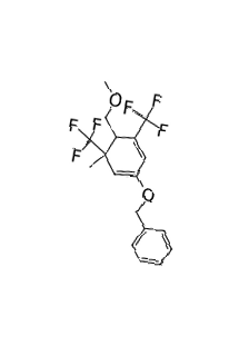 COCC1C(C(F)(F)F)=CC(OCc2ccccc2)=CC1(C)C(F)(F)F